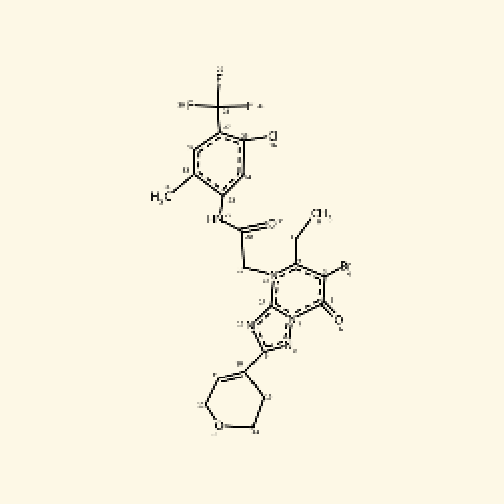 CCc1c(Br)c(=O)n2nc(C3=CCOCC3)nc2n1CC(=O)Nc1cc(Cl)c(C(F)(F)F)cc1C